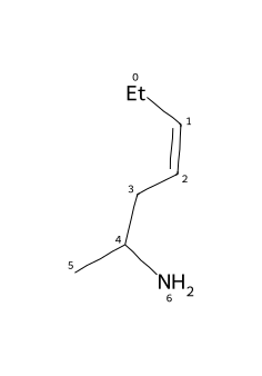 CC/C=C\CC(C)N